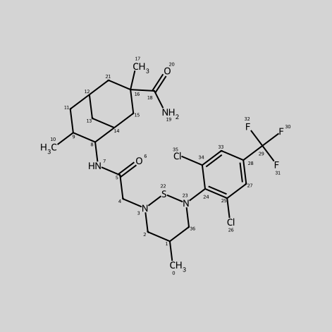 CC1CN(CC(=O)NC2C(C)CC3CC2CC(C)(C(N)=O)C3)SN(c2c(Cl)cc(C(F)(F)F)cc2Cl)C1